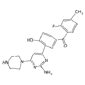 Cc1ccc(C(=O)c2ccc(O)c(-c3cc(N4CCNCC4)nc(N)n3)c2)c(F)c1